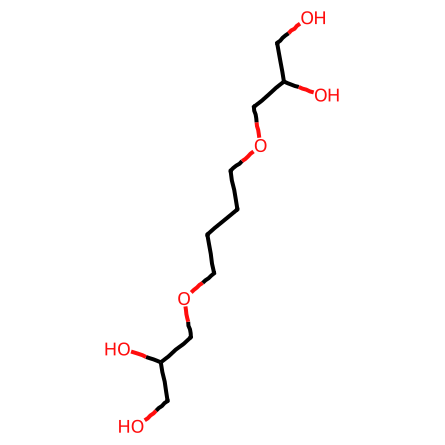 OCC(O)COCCCCOCC(O)CO